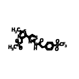 Cc1nc(CS(C)(=O)=O)c(-c2csc(NC(=O)Cc3ccc(S(=O)(=O)C(F)(F)F)cc3)n2)s1